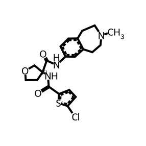 CN1CCc2ccc(NC(=O)[C@]3(NC(=O)c4ccc(Cl)s4)CCOC3)cc2CC1